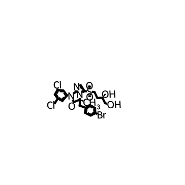 C[C@@]1(Cc2ccc(Br)cc2)C(=O)N(c2cc(Cl)cc(Cl)c2)c2ncc(S(=O)(=O)CC[C@@H](O)CO)n21